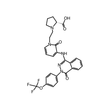 O=C(O)[C@H]1CCCN1CCn1cccc(Nc2nn(-c3ccc(OC(F)(F)F)cc3)c(=O)c3ccccc23)c1=O